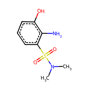 CN(C)S(=O)(=O)c1cccc(O)c1N